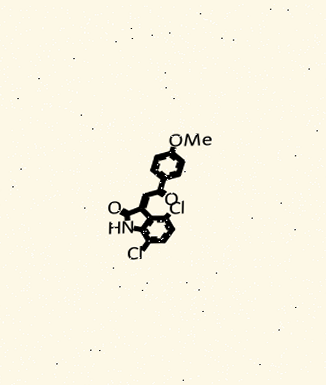 COc1ccc(C(=O)/C=C2/C(=O)Nc3c(Cl)ccc(Cl)c32)cc1